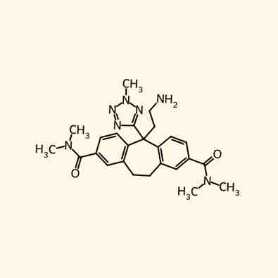 CN(C)C(=O)c1ccc2c(c1)CCc1cc(C(=O)N(C)C)ccc1C2(CCN)c1nnn(C)n1